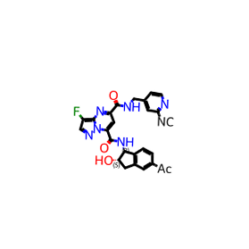 [C-]#[N+]c1cc(CNC(=O)c2cc(C(=O)N[C@@H]3c4ccc(C(C)=O)cc4C[C@@H]3O)n3ncc(F)c3n2)ccn1